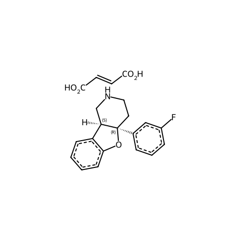 Fc1cccc([C@@]23CCNC[C@@H]2c2ccccc2O3)c1.O=C(O)C=CC(=O)O